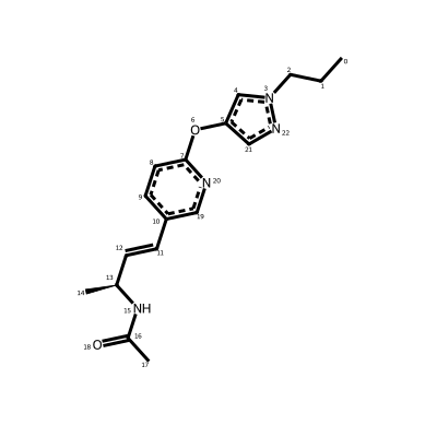 CCCn1cc(Oc2ccc(/C=C/[C@H](C)NC(C)=O)cn2)cn1